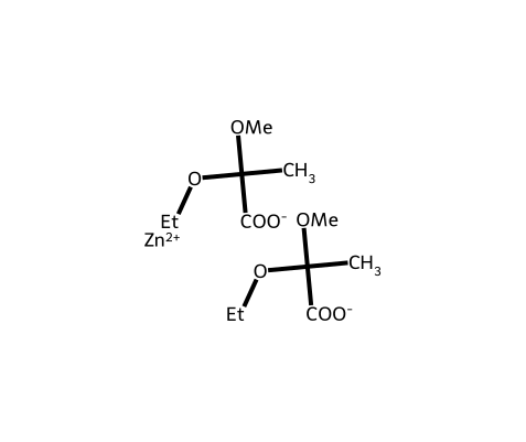 CCOC(C)(OC)C(=O)[O-].CCOC(C)(OC)C(=O)[O-].[Zn+2]